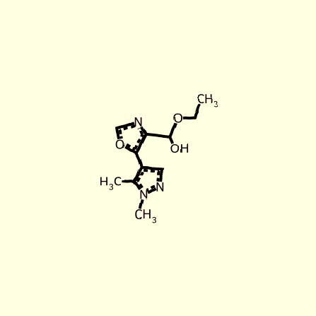 CCOC(O)c1ncoc1-c1cnn(C)c1C